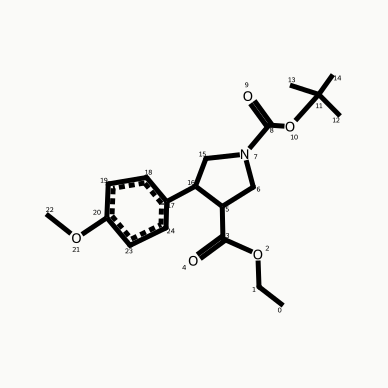 CCOC(=O)C1CN(C(=O)OC(C)(C)C)CC1c1ccc(OC)cc1